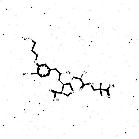 COCCCOc1cc(C[C@@H](C[C@H]2[C@H](C[C@H](C(=O)NCC(C)(C)C(N)=O)C(C)C)OCN2C(=O)OCC(C)C)C(C)C)ccc1OC